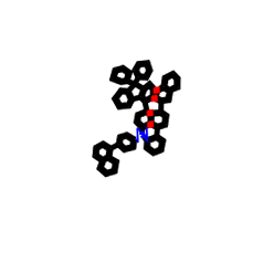 c1ccc(C2(c3ccccc3)c3ccccc3-c3c(-c4ccc(N(c5ccc(-c6cccc7ccccc67)cc5)c5ccccc5-c5ccc(-c6ccc7ccccc7c6)cc5)cc4)cccc32)cc1